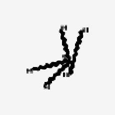 S[CH]CCC(CCCCCCCCCCS)C(CCCCCCCCCCS)(CCCCCCCCCCS)[C](S)CCCCCCCCCCS